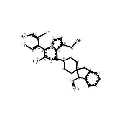 C=NC1c2cccnc2CC12CCN(c1nc(C)c(C(=C/C(C)C)/C(F)=C\C)n3ncc(CO)c13)CC2